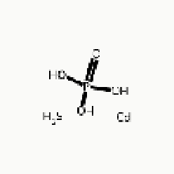 O=P(O)(O)O.S.[Cd]